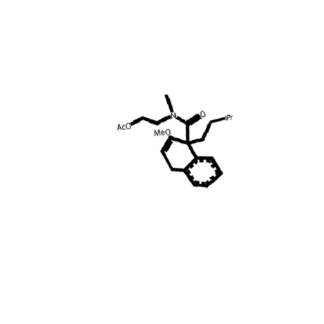 COC1=CCc2ccccc2C1(CCC(C)C)C(=O)N(C)CCOC(C)=O